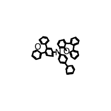 c1ccc(-c2ccc(N(c3ccc4c(c3)-c3ccccc3Oc3ccccc3-4)c3cccc4c3Oc3ccccc3-c3ccccc3-4)cc2)cc1